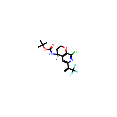 C=C(c1cc2c(c(Cl)n1)OCC[C@]2(C)NC(=O)OC(C)(C)C)C(F)(F)F